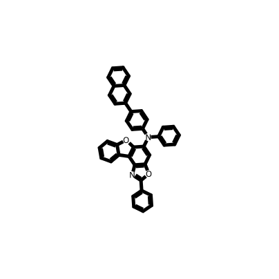 c1ccc(-c2nc3c(cc(N(c4ccccc4)c4ccc(-c5ccc6ccccc6c5)cc4)c4oc5ccccc5c43)o2)cc1